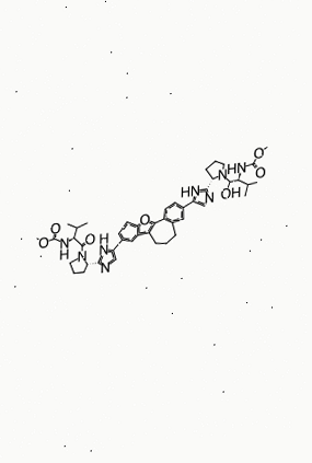 COC(=O)N[C@@H](C(C)C)C(O)N1CCC[C@H]1c1ncc(-c2ccc3c(c2)CCCc2c-3oc3ccc(-c4cnc([C@@H]5CCCN5C(=O)[C@@H](NC(=O)OC)C(C)C)[nH]4)cc23)[nH]1